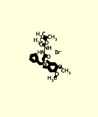 COc1cc2c(cc1OC)C[N+](CC(=O)NNC(=O)OC(C)(C)C)(Cc1ccccc1)C2.[Br-]